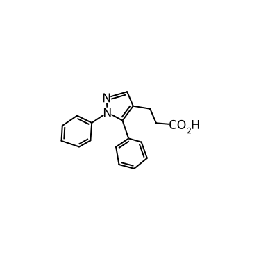 O=C(O)CCc1cnn(-c2ccccc2)c1-c1ccccc1